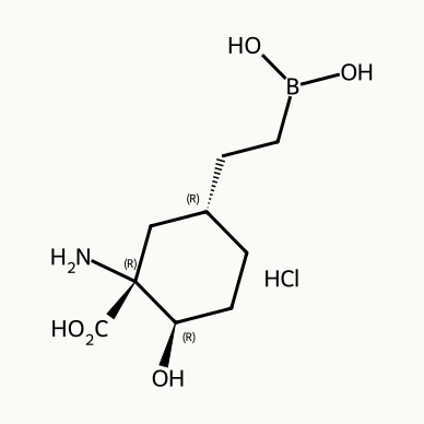 Cl.N[C@]1(C(=O)O)C[C@H](CCB(O)O)CC[C@H]1O